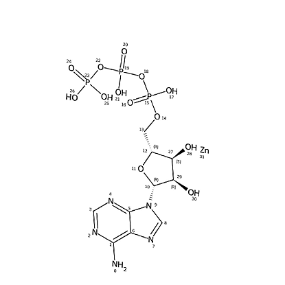 Nc1ncnc2c1ncn2[C@@H]1O[C@H](COP(=O)(O)OP(=O)(O)OP(=O)(O)O)[C@@H](O)[C@H]1O.[Zn]